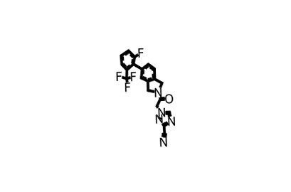 N#Cc1ncn(CC(=O)N2Cc3ccc(-c4c(F)cccc4C(F)(F)F)cc3C2)n1